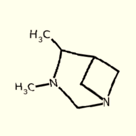 CC1C2CN(C2)CN1C